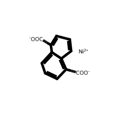 O=C([O-])c1cccc2c(C(=O)[O-])cccc12.[Ni+2]